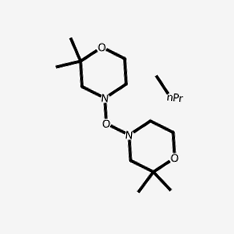 CC1(C)CN(ON2CCOC(C)(C)C2)CCO1.CCCC